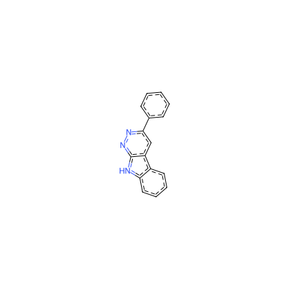 c1ccc(-c2cc3c(nn2)[nH]c2ccccc23)cc1